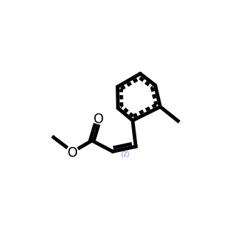 COC(=O)/C=C\c1ccccc1C